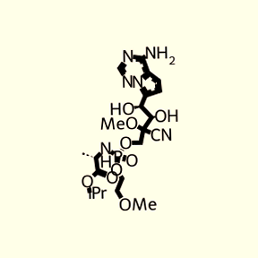 COCCOP(=O)(N[C@@H](C)C(=O)OC(C)C)OCC(C#N)(OC)[C@@H](O)[C@@H](O)c1ccc2c(N)ncnn12